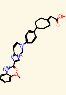 COc1ccccc1NC(=O)C1=C[N+]2CN(c3ccc(C4CCC(CC(=O)O)CC4)cc3)C=CC2=N1